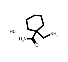 Cl.NCC1(C(N)=O)CCCCC1